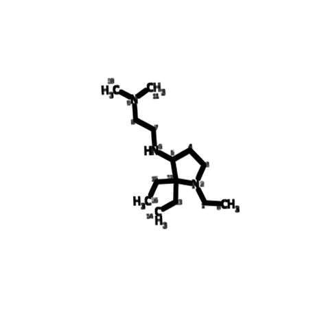 CCN1CCC(NCCN(C)C)C1(CC)CC